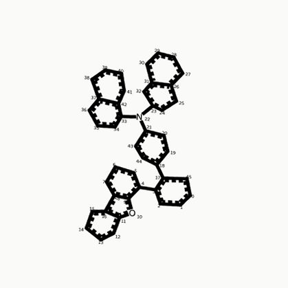 c1ccc(-c2cccc3c2oc2ccccc23)c(-c2ccc(N(c3ccc4ccccc4c3)c3cccc4ccccc34)cc2)c1